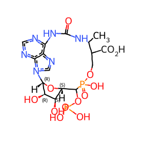 CC1NC(=O)Nc2ncnc3c2ncn3[C@@H]2O[C@H](C(OP(=O)(O)O)P(=O)(O)OCC1C(=O)O)[C@@H](O)[C@H]2O